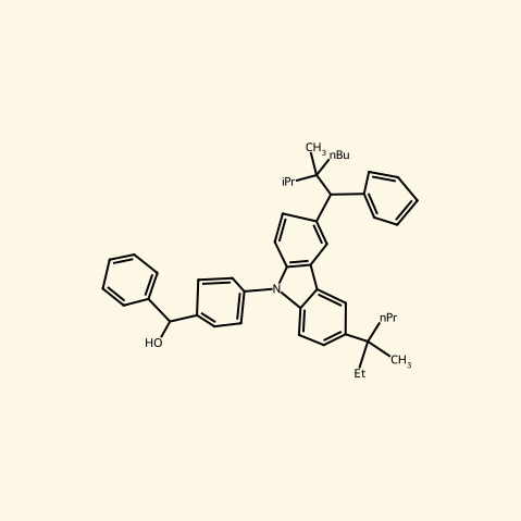 CCCCC(C)(C(C)C)C(c1ccccc1)c1ccc2c(c1)c1cc(C(C)(CC)CCC)ccc1n2-c1ccc(C(O)c2ccccc2)cc1